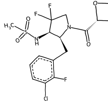 CS(=O)(=O)N[C@@H]1[C@H](Cc2cccc(Cl)c2F)N(C(=O)[C@H]2CCO2)CC1(F)F